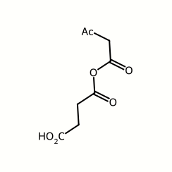 CC(=O)CC(=O)OC(=O)CCC(=O)O